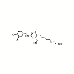 N=Cc1nc(NCc2ccc(Cl)c(Cl)c2)[nH]c(=O)c1CCCCCOCCO